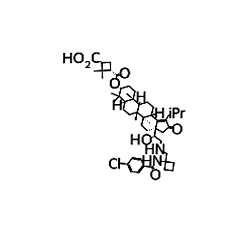 CC(C)C1=C2[C@H]3CC[C@@H]4[C@@]5(C)CC[C@H](OC(=O)[C@H]6C[C@@H](C(=O)O)C6(C)C)C(C)(C)[C@@H]5CC[C@@]4(C)[C@]3(C)CC[C@@]2([C@@H](O)CNCC2(NC(=O)c3ccc(Cl)cc3)CCC2)CC1=O